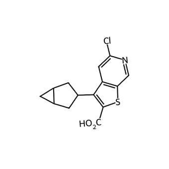 O=C(O)c1sc2cnc(Cl)cc2c1C1CC2CC2C1